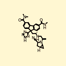 C=C(CN[C@@H](C)CC1(c2nn[nH]n2)c2ccc(C(=O)NC)cc2-c2cc(C(=O)N(C)C)ccc21)N1C(C#N)C[C@@H]2CC21